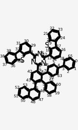 c1ccc(-c2ccc(-c3c(-c4nc(-c5cccc6c5sc5ccccc56)nc(-c5cccc6c5sc5ccccc56)n4)ccc(-c4cccc5ccccc45)c3-c3ccccc3)cc2)cc1